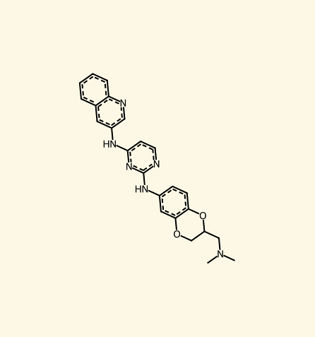 CN(C)CC1COc2cc(Nc3nccc(Nc4cnc5ccccc5c4)n3)ccc2O1